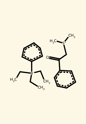 CC[B-](CC)(CC)c1ccccc1.C[S+](C)CC(=O)c1ccccc1